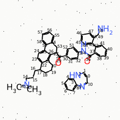 C1=CNc2ccccc2N=C1.CN(C)CCCC1CCCc2c1ccc1c2C(C(=O)c2ccc(NC(=O)c3ccccc3-c3ccccc3CN)cc2)Cc2ccccc2-1